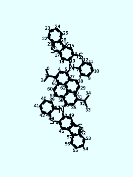 CC(C)c1cc(N2c3ccccc3Sc3cc4c(cc32)sc2ccccc24)c2ccc3c(C(C)C)cc(N4c5ccccc5Sc5cc6c(cc54)sc4ccccc46)c4ccc1c2c34